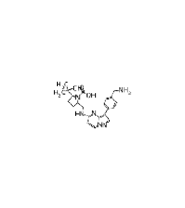 CC(C)(C)C1CCC(CNc2ccn3ncc(-c4ccc(CN)cc4)c3n2)N1C(=O)O